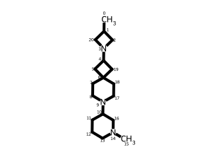 CC1CN(C2CC3(CCN(C4CCCN(C)C4)CC3)C2)C1